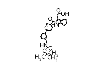 CC(C)(C)OC(=O)NCc1cccc(-c2ccc(C(=O)c3[nH]c4ccccc4c3CC(=O)O)cc2)c1